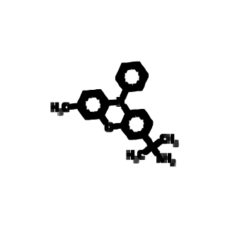 Cc1ccc2c(c1)Oc1cc(C(C)(C)N)ccc1N2c1ccccc1